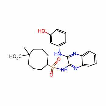 CC1(C(=O)O)CCCC(S(=O)(=O)Nc2nc3ccccc3nc2Nc2cccc(O)c2)CCC1